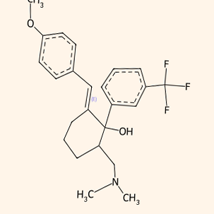 COc1ccc(/C=C2\CCCC(CN(C)C)C2(O)c2cccc(C(F)(F)F)c2)cc1